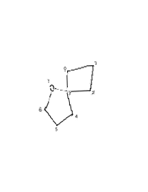 [CH]1CCC12CCCO2